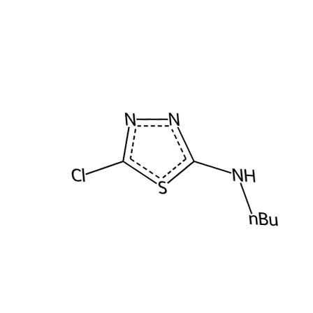 CCCCNc1nnc(Cl)s1